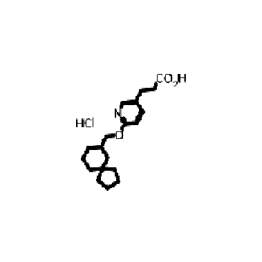 Cl.O=C(O)CCc1ccc(OCC2CCCC3(CCCC3)C2)nc1